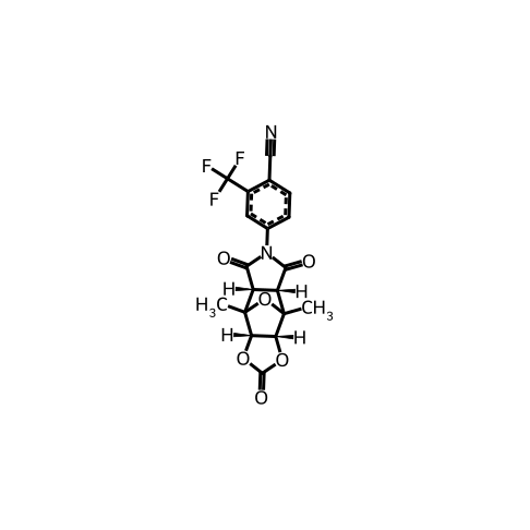 CC12OC(C)([C@@H]3OC(=O)O[C@@H]31)[C@H]1C(=O)N(c3ccc(C#N)c(C(F)(F)F)c3)C(=O)[C@H]12